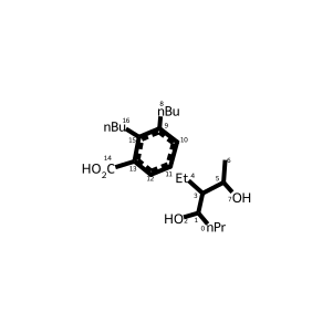 CCCC(O)C(CC)C(C)O.CCCCc1cccc(C(=O)O)c1CCCC